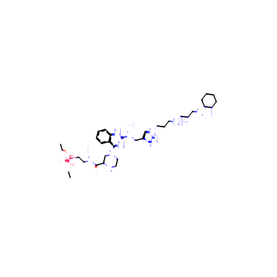 CCOP(=O)(CCNC(=O)C1CN(c2nc(NCc3cn(CCCNCCCNC4CCCCC4)nn3)nc3ccccc23)CCN1)OCC